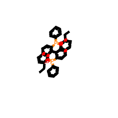 CCCOc1cccc(P(c2ccccc2)c2ccccc2)c1-c1c(OCCC)cccc1P(c1ccccc1)c1ccccc1